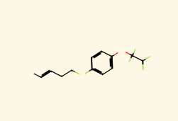 CC(=O)/C=C/CCSc1ccc(OC(F)(F)C(F)F)cc1